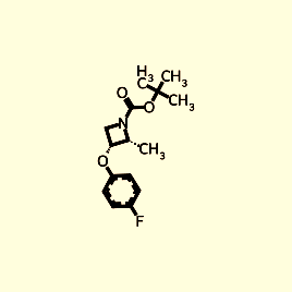 C[C@@H]1[C@H](Oc2ccc(F)cc2)CN1C(=O)OC(C)(C)C